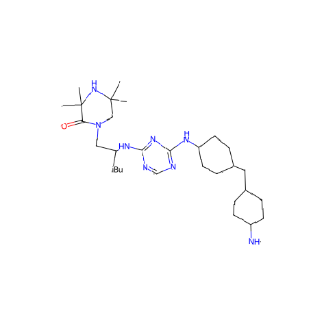 CCC(C)C(CN1CC(C)(C)NC(C)(C)C1=O)Nc1n[c]nc(NC2CCC(CC3CCC([NH])CC3)CC2)n1